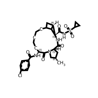 C[C@@H]1C[C@H]2C(=O)N[C@]3(C(=O)NS(=O)(=O)C4CC4)C4C(CCCCC[C@H](NC(=O)c5ccc(Cl)cc5)C(=O)N2C1)C[C@H]43